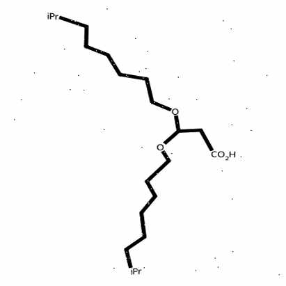 CC(C)CCCCCCOC(CC(=O)O)OCCCCCCC(C)C